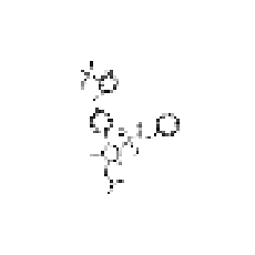 Cc1c(CC(C)C)sc(S(=O)(=O)NCc2ccccc2)c1-c1ccc(Cn2ccnc2C(F)(F)F)cc1